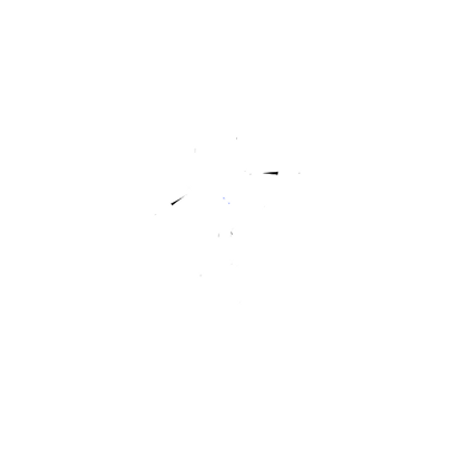 CCN1[C@@H]2CC[C@H]1CC(C(C)(C)C)C2